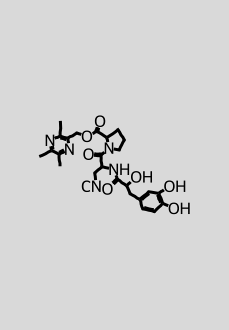 Cc1nc(C)c(COC(=O)C2CCCN2C(=O)C(CC#N)NC(=O)C(O)Cc2ccc(O)c(O)c2)nc1C